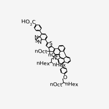 CCCCCCCCC(CCCCCC)COc1ccc(-c2cc3c4c5c2cccc5c2cccc5c6c(c(c4c52)n3CC(CCCCCC)CCCCCC)C(CCCCCCCC)(CCCCCCCC)c2cc(-c3ccc(-c4ccc(C(=O)O)cc4)c4nsnc34)sc2-6)cc1